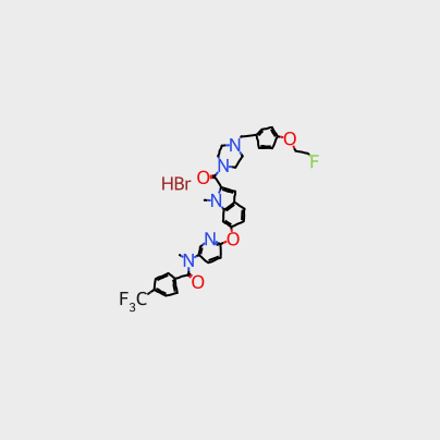 Br.CN(C(=O)c1ccc(C(F)(F)F)cc1)c1ccc(Oc2ccc3cc(C(=O)N4CCN(Cc5ccc(OCCF)cc5)CC4)n(C)c3c2)nc1